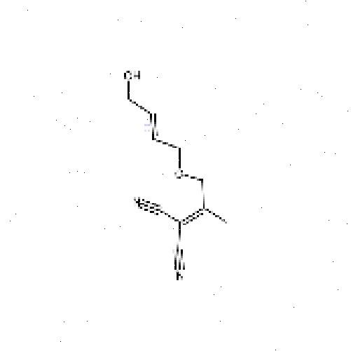 CC(COC/C=C/CO)=C(C#N)C#N